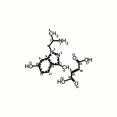 Cc1nn(CC(C)N)c2cc(O)ccc12.O=C(O)/C=C/C(=O)O